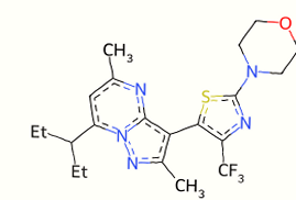 CCC(CC)c1cc(C)nc2c(-c3sc(N4CCOCC4)nc3C(F)(F)F)c(C)nn12